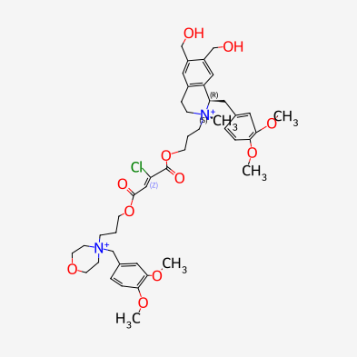 COc1ccc(C[C@@H]2c3cc(CO)c(CO)cc3CC[N@@+]2(C)CCCOC(=O)/C(Cl)=C/C(=O)OCCC[N+]2(Cc3ccc(OC)c(OC)c3)CCOCC2)cc1OC